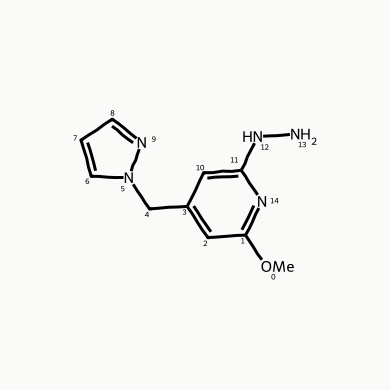 COc1cc(Cn2cccn2)cc(NN)n1